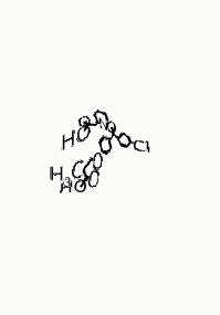 CC(COc1ccc(C(=O)c2ccc(Cl)cc2)cc1)C(=O)O.O=C(O)Cc1ccccn1